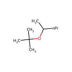 [CH2]CCC(C)OC(C)(C)C